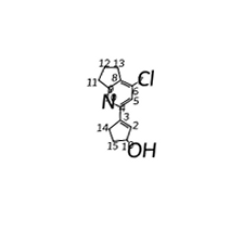 OC1C=C(c2cc(Cl)c3c(n2)CCC3)CC1